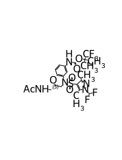 CC(=O)NC[C@H]1CN(S(=O)(=O)c2c(C)nn(C(F)F)c2C)c2cc(NC(=O)OC(C)(C)C(F)(F)F)ccc2O1